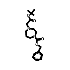 CC(C)(C)OC(=O)CN1CCCN(C(=O)OCc2ccccc2)CC1